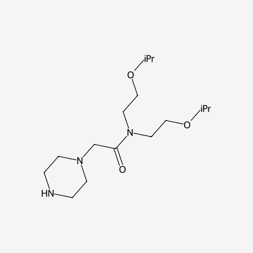 CC(C)OCCN(CCOC(C)C)C(=O)CN1CCNCC1